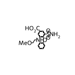 COCCNc1cc(C(=O)O)cc(S(N)(=O)=O)c1Oc1ccccc1